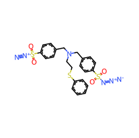 N#[N+]S(=O)(=O)c1ccc(CN(CCSc2ccccc2)Cc2ccc(S(=O)(=O)N=[N+]=[N-])cc2)cc1